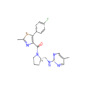 Cc1cnc(NC[C@@H]2CCCN2C(=O)c2nc(C)sc2-c2ccc(F)cc2)nc1